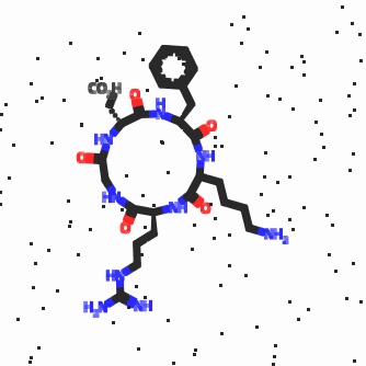 N=C(N)NCCC[C@@H]1NC(=O)C(CCCCN)NC(=O)[C@H](Cc2ccccc2)NC(=O)[C@@H](CC(=O)O)NC(=O)CNC1=O